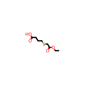 CCOC(=O)CSCCCC(=O)O